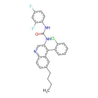 CCCCc1ccc2ncc(NC(=O)Nc3ccc(F)cc3F)c(-c3ccccc3Cl)c2c1